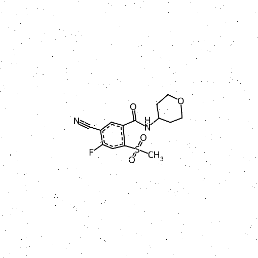 CS(=O)(=O)c1cc(F)c(C#N)cc1C(=O)NC1CCOCC1